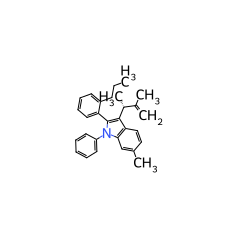 C=C(C)[C@@H](C)c1c(-c2ccccc2CCC)n(-c2ccccc2)c2cc(C)ccc12